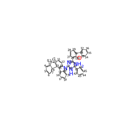 CC1(C)c2ccccc2-c2c1ccc1c2c2ccccc2n1C(/N=C(\N)c1cccc2c1oc1ccccc12)NCc1ccccc1